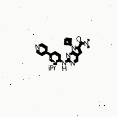 CC(C)N1CC(c2ccncc2)C=CC1Nc1ncc2cc(C(=O)N(C)C)n(C34CC(C3)C4)c2n1